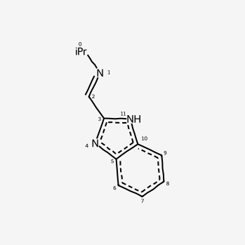 CC(C)/N=C/c1nc2ccccc2[nH]1